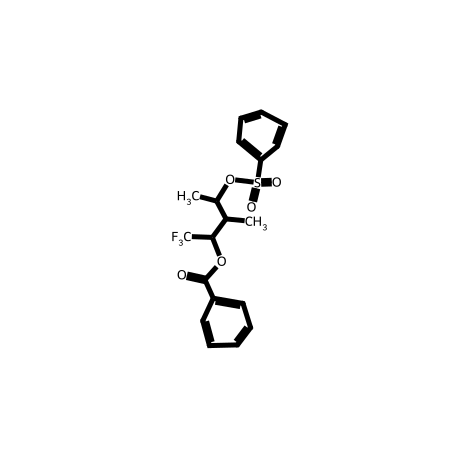 CC(OS(=O)(=O)c1ccccc1)C(C)C(OC(=O)c1ccccc1)C(F)(F)F